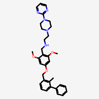 COc1cc(OCc2cccc(-c3ccccc3)c2C)cc(OC)c1CNCCN1CCN(c2ncccn2)CC1